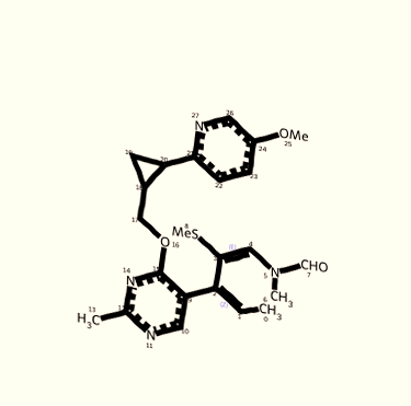 C/C=C(\C(=C/N(C)C=O)SC)c1cnc(C)nc1OCC1CC1c1ccc(OC)cn1